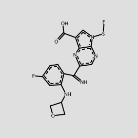 N=C(c1cnc2c(n1)c(C(=O)O)cn2SF)c1ccc(F)cc1NC1COC1